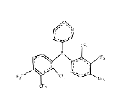 FC(F)(F)c1ccc(P(c2ccccc2)c2ccc(C(F)(F)F)c(C(F)(F)F)c2C(F)(F)F)c(C(F)(F)F)c1C(F)(F)F